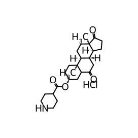 C[C@]12CC[C@H](OC(=O)C3CCNCC3)CC1C(=O)C[C@@H]1[C@@H]2CC[C@]2(C)C(=O)CC[C@@H]12.Cl